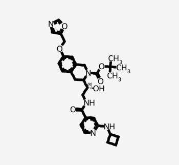 CC(C)(C)OC(=O)N1Cc2cc(OCc3cnco3)ccc2CC1[C@H](O)CNC(=O)c1ccnc(NC2CCC2)c1